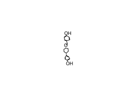 Oc1ccc(CO[C@H]2CC[C@H](c3ccc(O)cc3)CC2)cc1